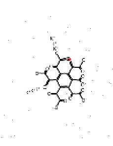 O=C([O-])C(=O)c1c(C(=O)[O-])c(C(=O)C(=O)[O-])c(C(=O)C(=O)[O-])c(C(=O)C(=O)[O-])c1C(=O)C(=O)[O-].[K+].[K+].[K+].[K+].[K+].[K+]